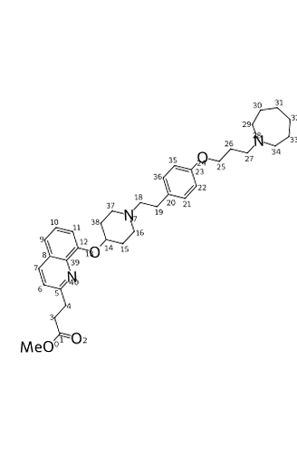 COC(=O)CCc1ccc2cccc(OC3CCN(CCc4ccc(OCCCN5CCCCCC5)cc4)CC3)c2n1